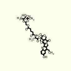 CCc1c2c(nc3ccc(O)cc13)-c1cc3c(c(=O)n1C2)COC(=O)[C@@]3(CC)OC(=O)[C@H](C)NC(=O)CCCC(=O)OCC(OC(C)CO)OC(C)(C)C